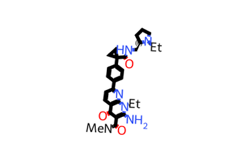 CCN1CCC[C@@H]1CNC(=O)C1(c2ccc(-c3ccc4c(=O)c(C(=O)NC)c(N)n(CC)c4n3)cc2)CC1